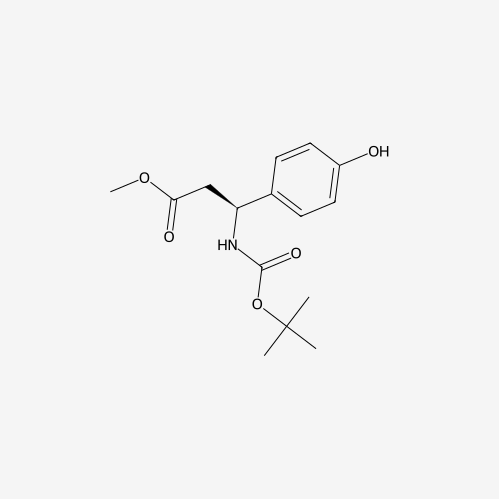 COC(=O)C[C@H](NC(=O)OC(C)(C)C)c1ccc(O)cc1